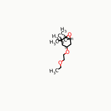 CCOCCO[C@H]1CC(C)(C)[C@]2(C)O[C@]2(C)C1